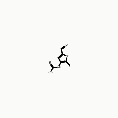 Cc1sc(C=O)cc1NC(=O)O